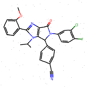 COc1ccccc1-c1nc2c(n1C(C)C)C(c1ccc(C#N)cc1)N(c1ccc(F)c(Cl)c1)C2=O